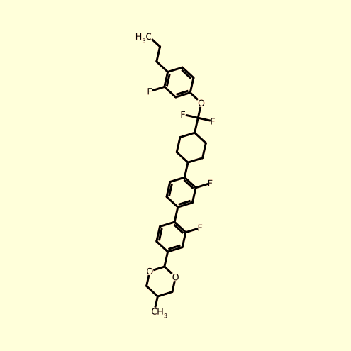 CCCc1ccc(OC(F)(F)C2CCC(c3ccc(-c4ccc(C5OCC(C)CO5)cc4F)cc3F)CC2)cc1F